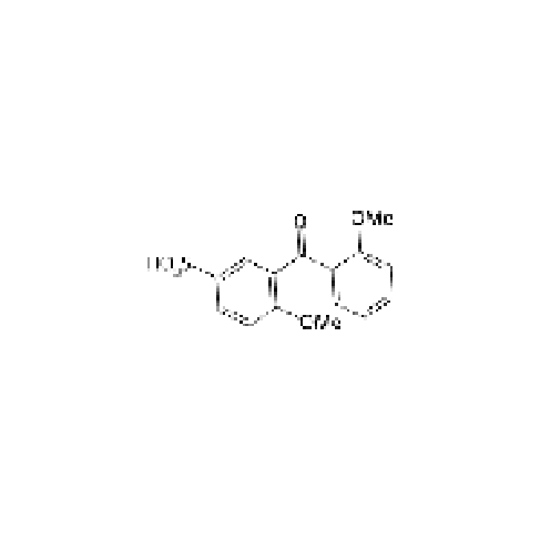 COc1ccccc1C(=O)c1cc(S(=O)(=O)O)ccc1OC